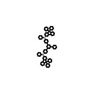 c1ccc(-c2cc(-c3ccc(N(c4ccccc4)c4ccc5c(c4)-c4ccccc4C5(c4ccccc4)c4ccccc4)cc3)cc(-c3ccc(N(c4ccccc4)c4ccc5c(c4)-c4ccccc4C5(c4ccccc4)c4ccccc4)cc3)c2)cc1